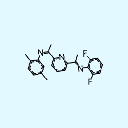 CC(=Nc1cc(C)ccc1C)c1cccc(C(C)=Nc2c(F)cccc2F)n1